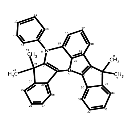 CC1(C)C2=C(B3C4=C(N(c5ccccc5)c5cccc2c53)C(C)(C)c2ccccc24)c2ccccc21